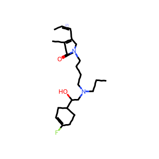 C/C=C\C1=C(C)C(=O)N(CCCCN(CCC)CC(O)C2CC=C(F)CC2)C1